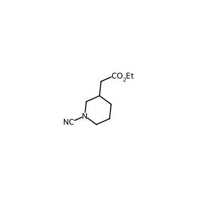 CCOC(=O)CC1CCCN(C#N)C1